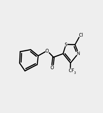 O=C(Oc1ccccc1)c1sc(Cl)nc1C(F)(F)F